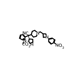 CN(C(=O)O)[C@H]1CCC[C@@H]1C(C#N)(c1ccccc1)C1CCN(CC2CN(c3ccc([N+](=O)[O-])cc3)C2)CC1